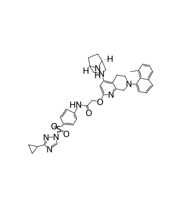 Cc1cccc2cccc(N3CCc4c(N5C[C@H]6CC[C@@H](C5)N6)cc(OCC(=O)Nc5ccc(S(=O)(=O)n6cnc(C7CC7)n6)cc5)nc4C3)c12